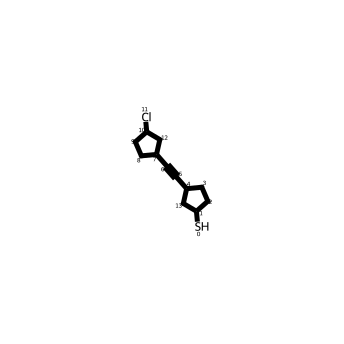 SC1CCC(C#CC2CCC(Cl)C2)C1